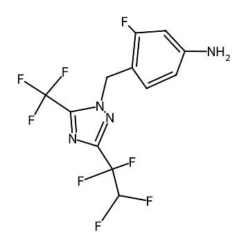 Nc1ccc(Cn2nc(C(F)(F)C(F)F)nc2C(F)(F)F)c(F)c1